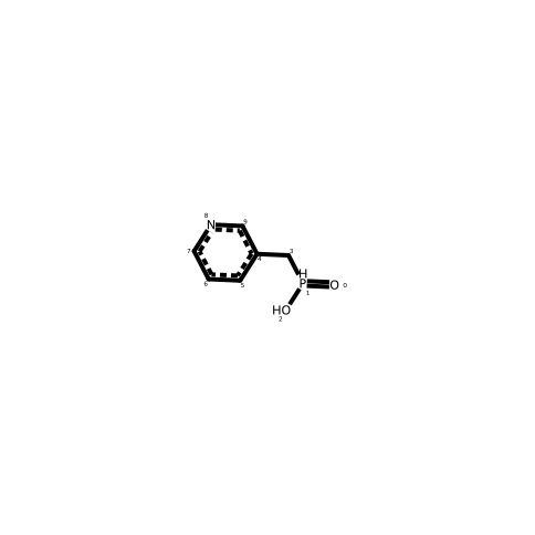 O=[PH](O)Cc1cccnc1